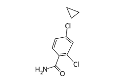 C1CC1.NC(=O)c1ccc(Cl)cc1Cl